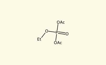 CCOP(=O)(OC(C)=O)OC(C)=O